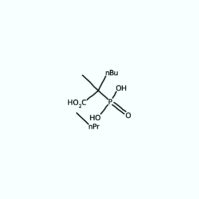 CCCC.CCCCC(C)(C(=O)O)P(=O)(O)O